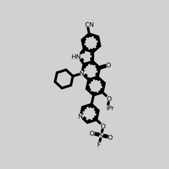 CC(C)Oc1cc2c(=O)c3c4ccc(C#N)cc4[nH]c3n(C3CCCCC3)c2cc1-c1cncc(OS(=O)(=O)F)c1